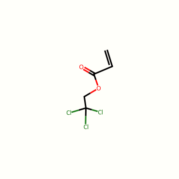 C=CC(=O)OCC(Cl)(Cl)Cl